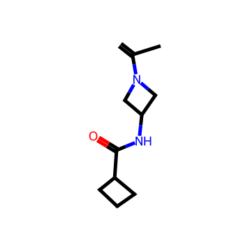 C=C(C)N1CC(NC(=O)C2CCC2)C1